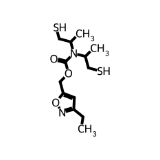 CCc1cc(COC(=O)N(C(C)CS)C(C)CS)on1